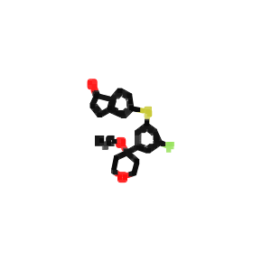 COC1(c2cc(F)cc(Sc3ccc4c(c3)C=CC4=O)c2)CCOCC1